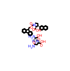 C[C@H](N)C(=O)O.NC(=O)C[C@H](N)C(=O)O.O=C(O)[C@@H]1[C@@H](c2ccc3ccccc3c2)CCN1C(=O)OCC1c2ccccc2-c2ccccc21